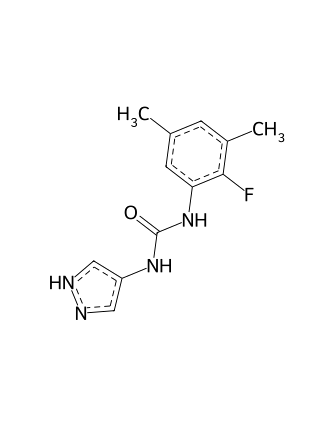 Cc1cc(C)c(F)c(NC(=O)Nc2cn[nH]c2)c1